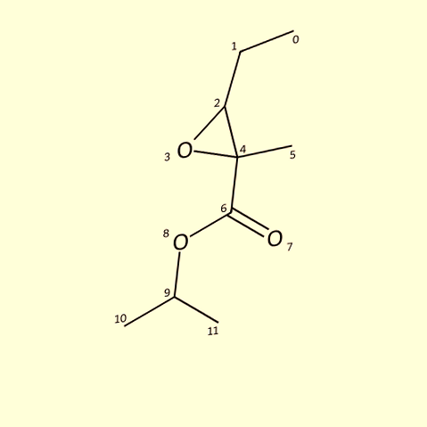 CCC1OC1(C)C(=O)OC(C)C